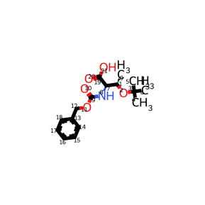 C[C@H](OC(C)(C)C)[C@@H](NC(=O)OCc1ccccc1)C(=O)O